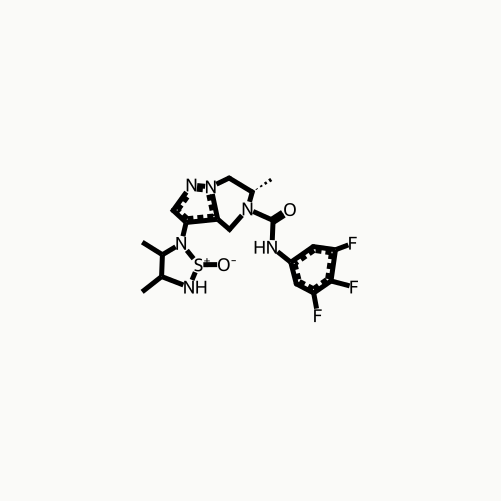 CC1N[S+]([O-])N(c2cnn3c2CN(C(=O)Nc2cc(F)c(F)c(F)c2)[C@@H](C)C3)C1C